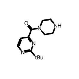 CC(C)(C)c1nccc(C(=O)N2CCNCC2)n1